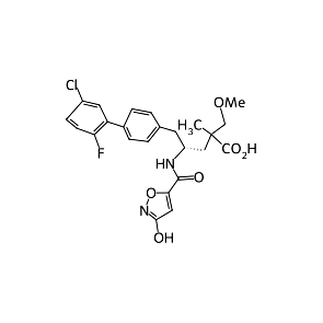 COCC(C)(C[C@@H](Cc1ccc(-c2cc(Cl)ccc2F)cc1)NC(=O)c1cc(O)no1)C(=O)O